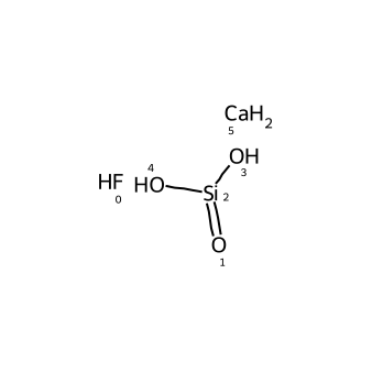 F.O=[Si](O)O.[CaH2]